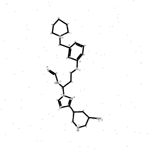 NC1CNCC(c2ncn(C(CCOc3cccc(CN4CCCCC4)c3)NC=S)n2)C1